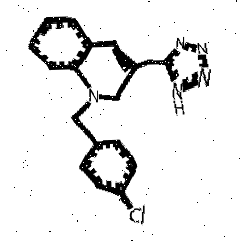 Clc1ccc(CN2CC(c3nnn[nH]3)=Cc3ccccc32)cc1